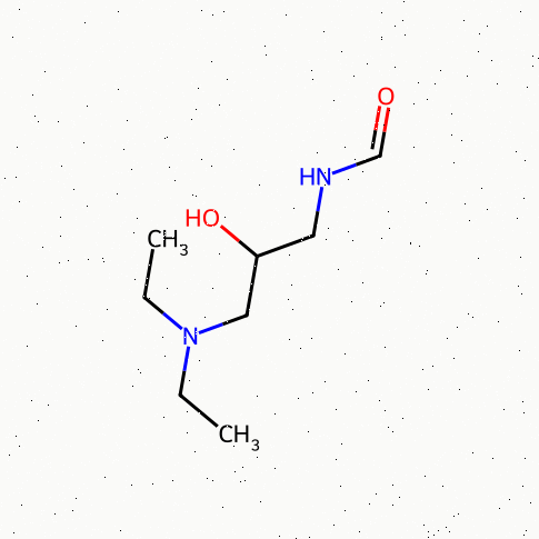 CCN(CC)CC(O)CNC=O